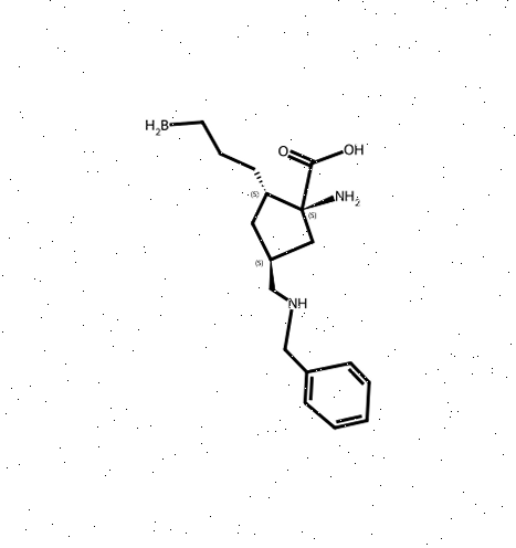 BCCC[C@H]1C[C@H](CNCc2ccccc2)C[C@@]1(N)C(=O)O